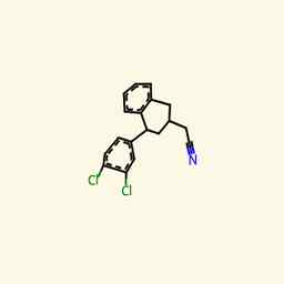 N#CCC1Cc2ccccc2C(c2ccc(Cl)c(Cl)c2)C1